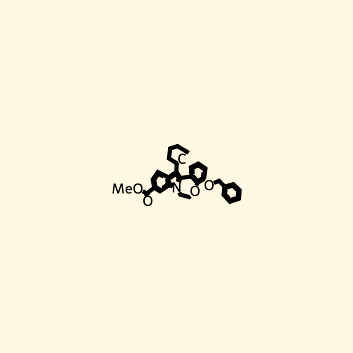 COC(=O)c1ccc2c(C3CCCCC3)c3n(c2c1)CCOc1c(OCc2ccccc2)cccc1-3